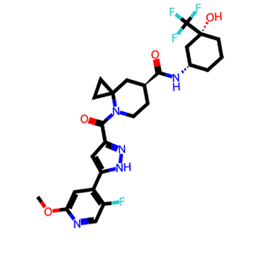 COc1cc(-c2cc(C(=O)N3CC[C@H](C(=O)N[C@H]4CCC[C@](O)(C(F)(F)F)C4)CC34CC4)n[nH]2)c(F)cn1